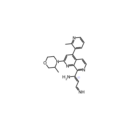 Cc1ncccc1-c1cc(N2CCOCC2C)nc2c(/C(N)=C/C=N)nccc12